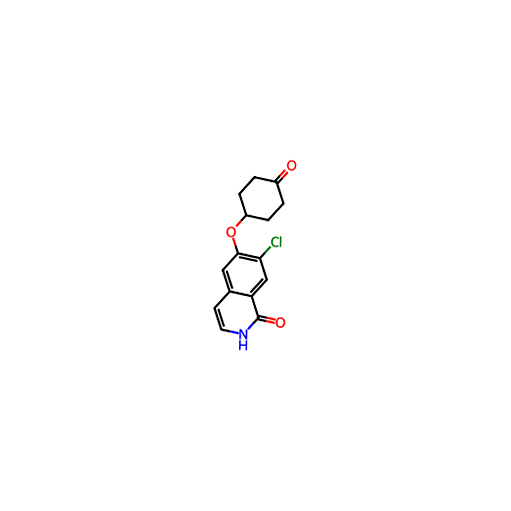 O=C1CCC(Oc2cc3cc[nH]c(=O)c3cc2Cl)CC1